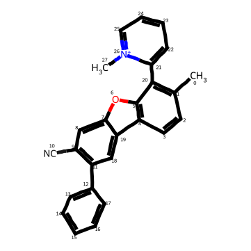 Cc1ccc2c(oc3cc(C#N)c(-c4ccccc4)cc32)c1-c1cccc[n+]1C